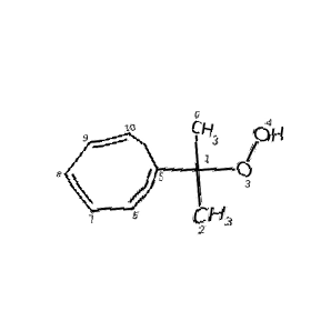 CC(C)(OO)c1ccccc1